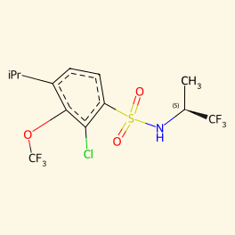 CC(C)c1ccc(S(=O)(=O)N[C@@H](C)C(F)(F)F)c(Cl)c1OC(F)(F)F